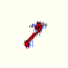 CCC[C@H](NC(=O)[C@@H]1C2CCC[C@H]2CN1C(=O)[C@@H](NC(=O)[C@H](C)NC(=O)c1cnc(C(=O)NCCCCCCCCNC(=O)CCOCCOCCOCCOCCNc2cccc3c2CN(C2CCC(=O)NC2=O)C3=O)cn1)C(C)(C)C)C(=O)C(=O)NC1CC1